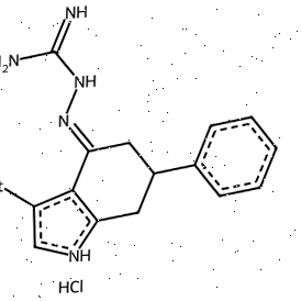 CCc1c[nH]c2c1C(=NNC(=N)N)CC(c1ccccc1)C2.Cl